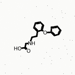 O=C(O)CNCCc1ccccc1Oc1ccccc1